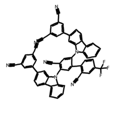 N#Cc1cc(C#N)cc(-c2ccc3c4ccccc4n(-c4cc(-c5ccc(C(F)(F)F)cc5C#N)c(-n5c6ccccc6c6ccc(-c7cc(C#N)cc(C#N)c7)cc65)cc4C#N)c3c2)c1